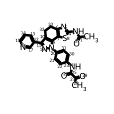 CC(=O)Nc1nc2c(s1)-c1c(c(-c3cccnc3)nn1-c1ccc(NC(=O)C(C)=O)cc1)CC2